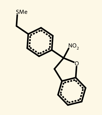 CSCc1ccc(C2([N+](=O)[O-])Cc3ccccc3O2)cc1